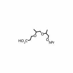 CCCOCC(C)OCC(C)OCCC(=O)O